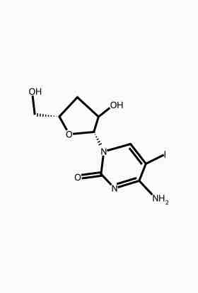 Nc1nc(=O)n([C@@H]2O[C@H](CO)CC2O)cc1I